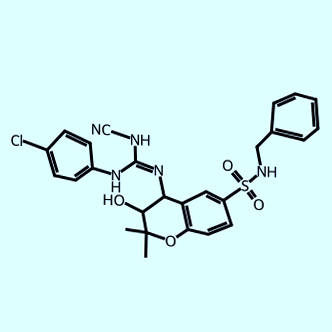 CC1(C)Oc2ccc(S(=O)(=O)NCc3ccccc3)cc2C(/N=C(/NC#N)Nc2ccc(Cl)cc2)C1O